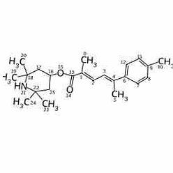 C/C(=C\C=C(/C)c1ccc(C)cc1)C(=O)OC1CC(C)(C)NC(C)(C)C1